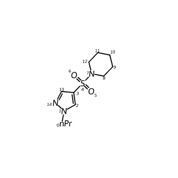 CCCn1cc(S(=O)(=O)N2CCCCC2)cn1